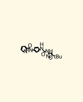 CC(C)(C)c1cc(NC(=O)Nc2ccc(NC(=O)c3ccccn3)cc2)no1